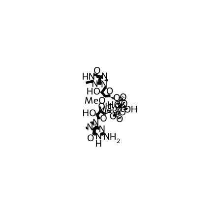 COC1[C@@H](COP(=O)(O)OP(=O)(O)OP(=O)(OC)OC[C@H]2O[C@@H](n3c[n+](C)c4c(=O)[nH]c(N)nc43)C(O)[C@H]2O)O[C@@H](n2cnc3c(=O)[nH]c(C)nc32)[C@H]1O